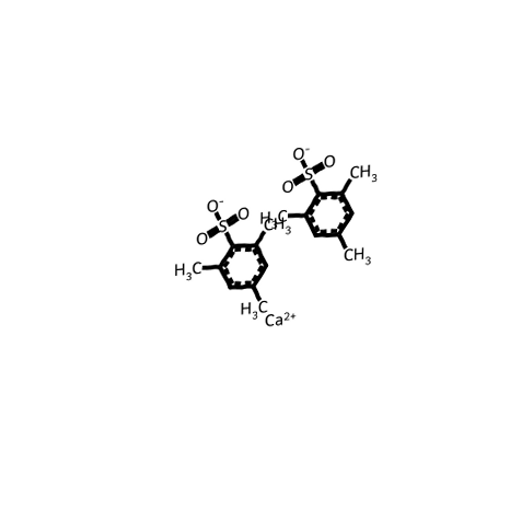 Cc1cc(C)c(S(=O)(=O)[O-])c(C)c1.Cc1cc(C)c(S(=O)(=O)[O-])c(C)c1.[Ca+2]